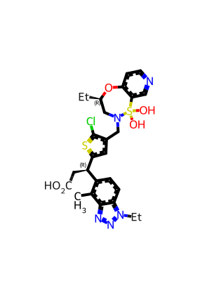 CC[C@@H]1CN(Cc2cc([C@H](CC(=O)O)c3ccc4c(nnn4CC)c3C)sc2Cl)S(O)(O)c2cnccc2O1